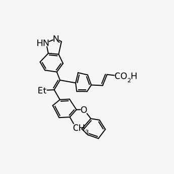 CC/C(=C(/c1ccc(/C=C/C(=O)O)cc1)c1ccc2[nH]ncc2c1)c1ccc(C)c(Oc2ccccc2)c1